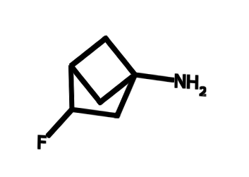 NC12CC(F)C(C1)C2